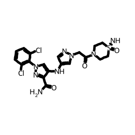 N=S1(=O)CCN(C(=O)Cn2cc(Nc3cn(-c4c(Cl)cccc4Cl)nc3C(N)=O)cn2)CC1